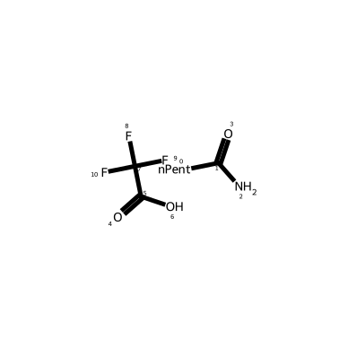 CCCCCC(N)=O.O=C(O)C(F)(F)F